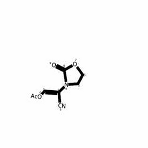 CC(=O)OC=C(C#N)N1CCOC1=O